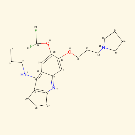 CCCNc1c2c(nc3cc(OCCCN4CCCC4)c(OC(F)F)cc13)CCC2